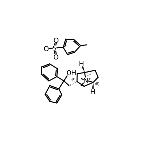 C[N+]1(C)[C@@H]2CC[C@H]1C[C@@H](CC(O)(c1ccccc1)c1ccccc1)C2.Cc1ccc(S(=O)(=O)[O-])cc1